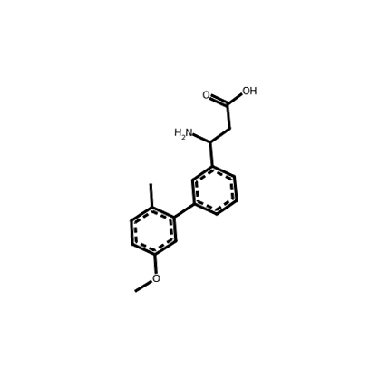 COc1ccc(C)c(-c2cccc(C(N)CC(=O)O)c2)c1